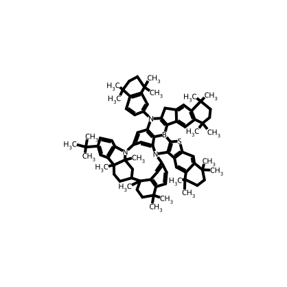 CC(C)(C)c1ccc2c(c1)C1(C)CCC3CC1(C)N2c1cc2c4c(c1)N(c1ccc5c(c1)C3(C)CCC5(C)C)c1c(sc3cc5c(cc13)C(C)(C)CCC5(C)C)B4C1=C(Cc3cc4c(cc31)C(C)(C)CCC4(C)C)N2c1ccc2c(c1)C(C)(C)CCC2(C)C